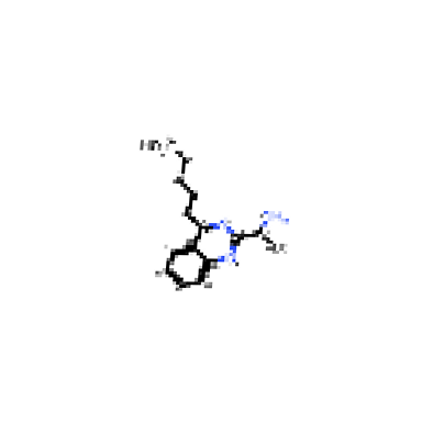 CC[C@H](N)c1nc(CCCCC(=O)O)c2ccccc2n1